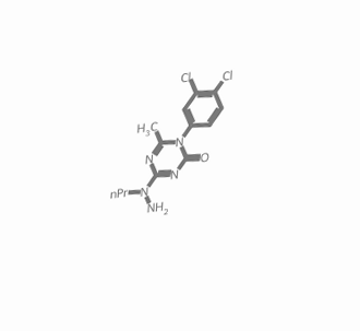 CCCN(N)c1nc(C)n(-c2ccc(Cl)c(Cl)c2)c(=O)n1